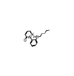 CCCCCNc1ccccc1-n1ncccc1=O